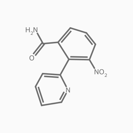 NC(=O)c1cccc([N+](=O)[O-])c1-c1ccccn1